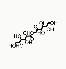 O=C(COC(=O)[C@H](O)[C@@H](O)[C@H](O)[C@H](O)CO)[C@@H](O)[C@H](O)[C@H](O)CO